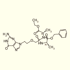 CCOC(=O)[C@@H](C)NP(=O)(COCCn1cnc2c(=O)[nH]c(N)nc21)N[C@H](C)C(=O)OCc1ccccc1